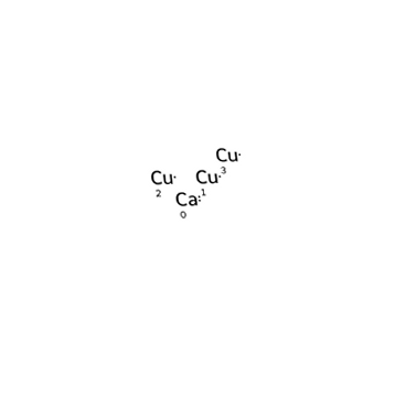 [Ca].[Cu].[Cu].[Cu]